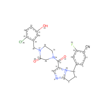 N#Cc1ccc(C2CCc3ncc(C(=O)N4CCN(Cc5cc(O)ccc5Cl)C(=O)C4)n32)cc1F